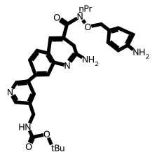 CCCN(OCc1ccc(N)cc1)C(=O)C1=Cc2ccc(-c3cncc(CNC(=O)OC(C)(C)C)c3)cc2N=C(N)C1